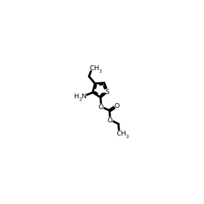 CCOC(=O)Oc1scc(CC)c1N